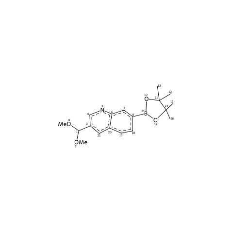 COC(OC)c1cnc2cc(B3OC(C)(C)C(C)(C)O3)ccc2c1